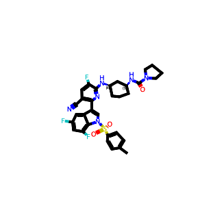 Cc1ccc(S(=O)(=O)n2cc(-c3nc(N[C@@H]4CCC[C@H](NC(=O)N5CCCC5)C4)c(F)cc3C#N)c3cc(F)cc(F)c32)cc1